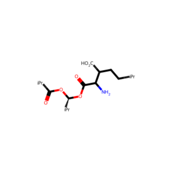 CC(C)CCC(C(=O)O)C(N)C(=O)O[C@H](OC(=O)C(C)C)C(C)C